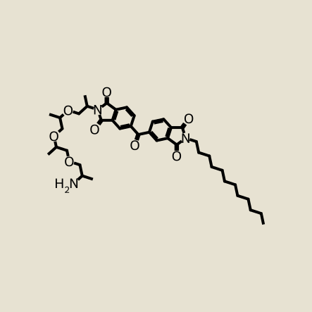 CCCCCCCCCCCCN1C(=O)c2ccc(C(=O)c3ccc4c(c3)C(=O)N(C(C)COC(C)COC(C)COCC(C)N)C4=O)cc2C1=O